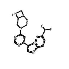 FC(F)c1ccc2ncc(-c3cc(N4CCC5CNC5C4)ncn3)n2n1